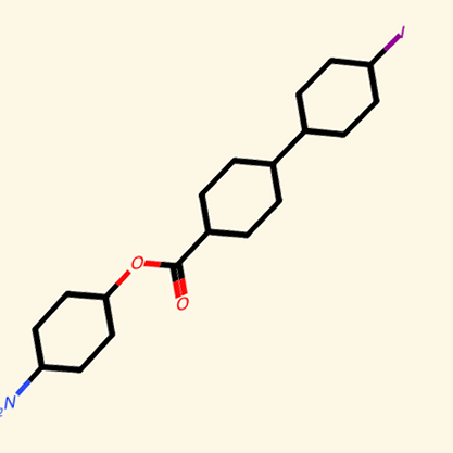 NC1CCC(OC(=O)C2CCC(C3CCC(I)CC3)CC2)CC1